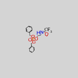 O=C(NCCOP(=O)(OCc1ccccc1)OCc1ccccc1)C(F)(F)F